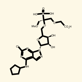 COC[C@](COCC(=O)O)(OCC1O[C@@H](n2ncc3c(NC4CCCC4)nc(Cl)nc32)[C@H](O)[C@@H]1O)P(=O)(O)O